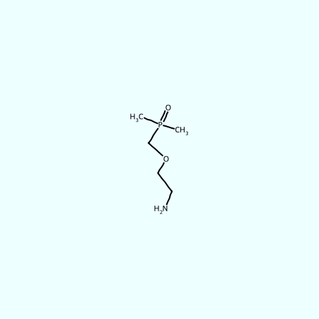 CP(C)(=O)COCCN